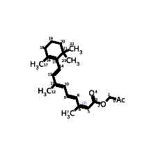 CC(=O)COC(=O)/C=C(/C)C=CC=C(C)C=CC1=C(C)CCCC1(C)C